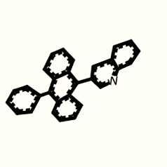 c1ccc(-c2c3ccccc3c(-c3cnc4ccccc4c3)c3ccccc23)cc1